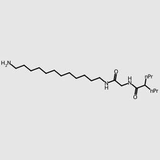 CCCC(CCC)C(=O)NCC(=O)NCCCCCCCCCCCCN